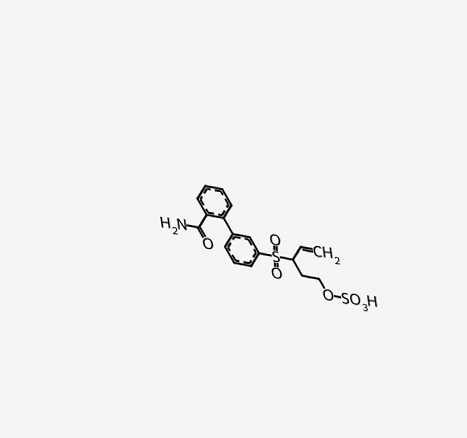 C=CC(CCOS(=O)(=O)O)S(=O)(=O)c1cccc(-c2ccccc2C(N)=O)c1